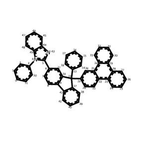 c1ccc(-n2c(-c3ccc4c(c3)C(c3ccccc3)(c3ccc5c6ccccc6c6ccccc6c5c3)c3ccccc3-4)nc3ccccc32)cc1